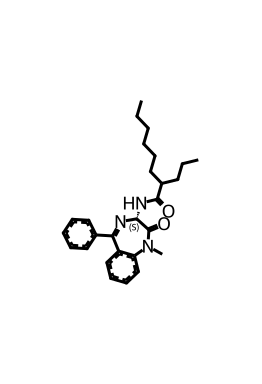 CCCCCCC(CCC)C(=O)N[C@H]1N=C(c2ccccc2)c2ccccc2N(C)C1=O